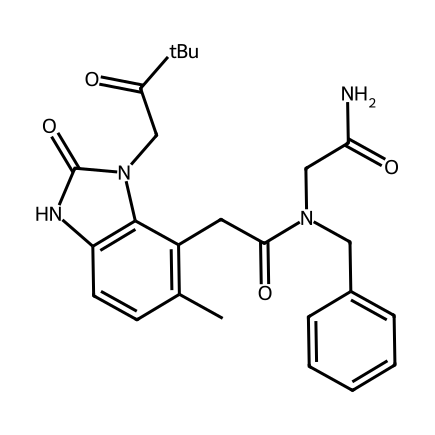 Cc1ccc2[nH]c(=O)n(CC(=O)C(C)(C)C)c2c1CC(=O)N(CC(N)=O)Cc1ccccc1